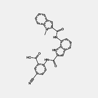 Cn1c(C(=O)Nc2cccc3cc(C(=O)Nc4ccc(C#N)cc4C(=O)O)[nH]c23)cc2ccccc21